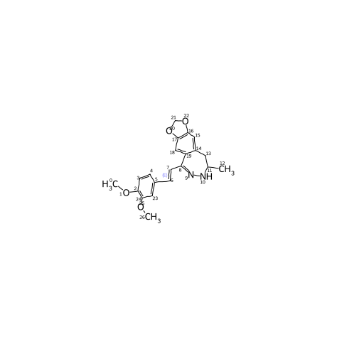 COc1ccc(/C=C/C2=NNC(C)Cc3cc4c(cc32)OCO4)cc1OC